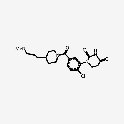 CNCCCC1CCN(C(=O)c2ccc(Cl)c(N3CCC(=O)NC3=O)c2)CC1